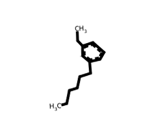 CCCCCCc1[c]c(CC)ccc1